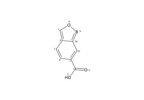 O=C(O)c1ccc2cobc2c1